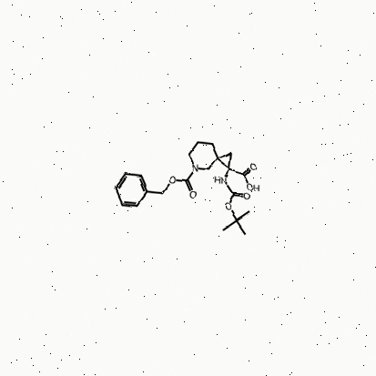 CC(C)(C)OC(=O)N[C@]1(C(=O)O)C[C@@]12CCCN(C(=O)OCc1ccccc1)C2